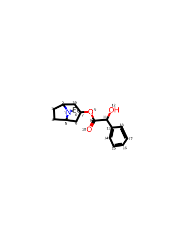 CCN1C2CCC1CC(OC(=O)C(O)c1ccccc1)C2